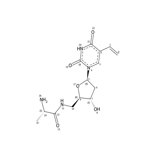 C=Cc1cn([C@H]2C[C@H](O)[C@@H](CNC(=O)[C@H](C)N)O2)c(=O)[nH]c1=O